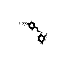 O=C(O)c1ccc(CCOc2ccc(F)cc2F)cc1